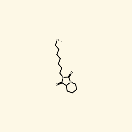 CCCCCCCCN1C(=O)C2CCCCN2C1=O